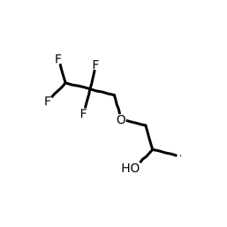 [CH2]C(O)COCC(F)(F)C(F)F